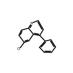 Clc1ccc2nccc(-c3ccccc3)c2c1